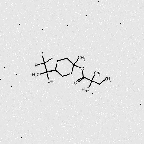 CCC(C)(C)C(=O)OC1(C)CCC(C(C)(O)C(F)(F)F)CC1